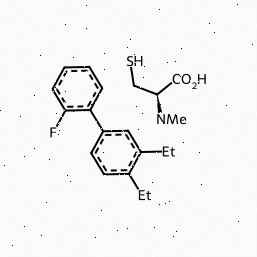 CCc1ccc(-c2ccccc2F)cc1CC.CN[C@@H](CS)C(=O)O